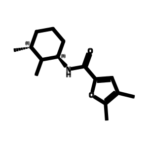 Cc1cc(C(=O)N[C@@H]2CCC[C@@H](C)C2C)oc1C